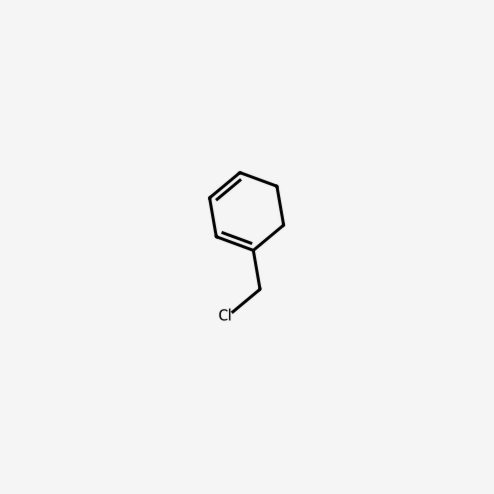 ClCC1=CC=CCC1